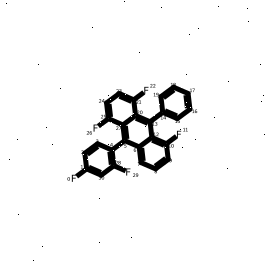 Fc1ccc(-c2c3cccc(F)c3c(-c3ccccc3)c3c(F)ccc(F)c23)c(F)c1